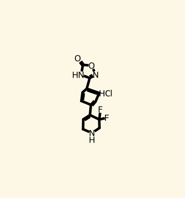 Cl.O=c1[nH]c(-c2ccc(C3=CCNCC3(F)F)cc2)no1